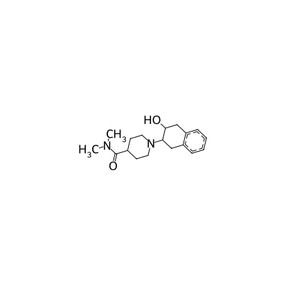 CN(C)C(=O)C1CCN(C2Cc3ccccc3CC2O)CC1